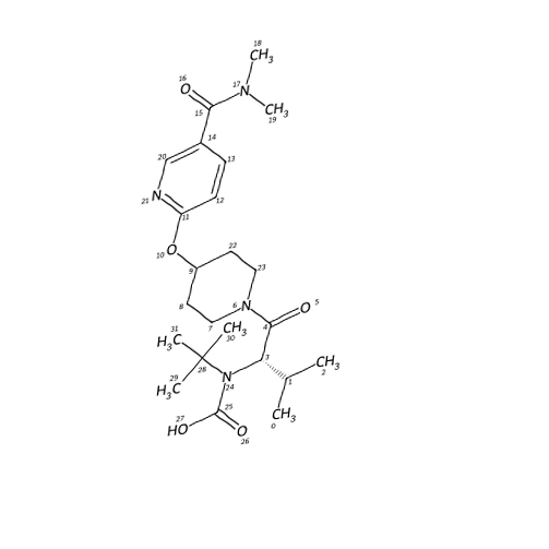 CC(C)[C@@H](C(=O)N1CCC(Oc2ccc(C(=O)N(C)C)cn2)CC1)N(C(=O)O)C(C)(C)C